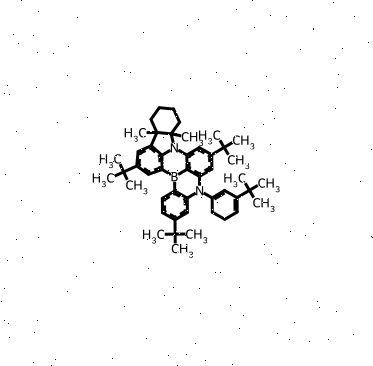 CC(C)(C)C1=CCCC(N2c3cc(C(C)(C)C)ccc3B3c4cc(C(C)(C)C)cc5c4N(c4cc(C(C)(C)C)cc2c43)C2(C)CCCCC52C)=C1